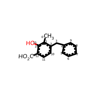 Cc1c(Cc2ccccc2)ccc(C(=O)O)c1O